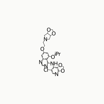 CC(C)Oc1cc(OCCN2CC3OCOC3C2)cc2ncnc(Nc3c(Cl)cnc4c3OCO4)c12